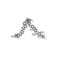 CCC(C)(C)Oc1ccc(C(C)c2ccc(Oc3ccc(Oc4ccc(C(N)(CC)C(C)(CC)Oc5ccc6cc(OC(=O)c7ccc(Oc8ccc(C(C)(C)CC)cc8)cc7)ccc6c5)cc4)cc3)c(C)c2)cc1C